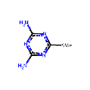 CSc1nc(N)nc(N)n1